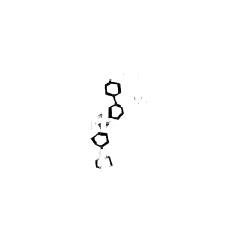 COc1ccc(S(=O)(=O)Nc2ccc(N3CCOCC3)cc2)cc1-c1ccc(C(=O)O)cc1